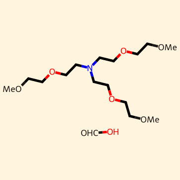 COCCOCCN(CCOCCOC)CCOCCOC.O=CO